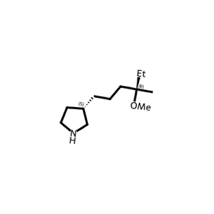 CC[C@](C)(CCC[C@H]1CCNC1)OC